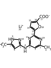 Cc1cc(Nc2cc(C)[nH]n2)nc(-c2ccc(C(=O)[O-])o2)n1.[Li+]